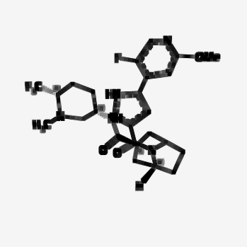 COc1cc(-c2cc(C(=O)N3C4CC[C@@H]3C[C@@H](C(=O)N[C@H]3CC[C@@H](C(F)(F)F)N(C)C3)C4)n[nH]2)c(F)cn1